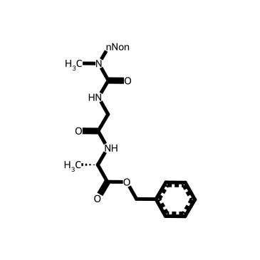 CCCCCCCCCN(C)C(=O)NCC(=O)N[C@@H](C)C(=O)OCc1ccccc1